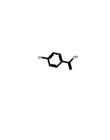 C=C(O)c1ccc(CC)cc1